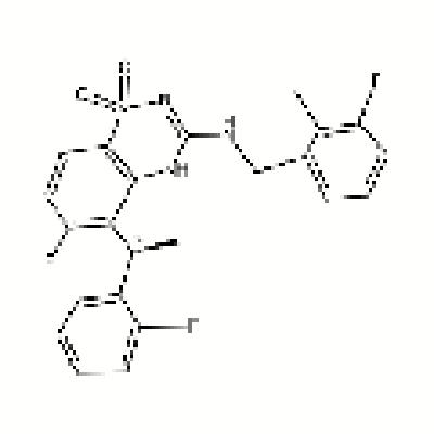 Cc1c(F)cccc1CNC1=NS(=O)(=O)c2ccc(F)c([C@@H](C)c3ccccc3F)c2N1